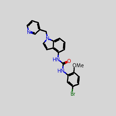 COc1ccc(Br)cc1NC(=O)Nc1cccc2c1ccn2Cc1cccnc1